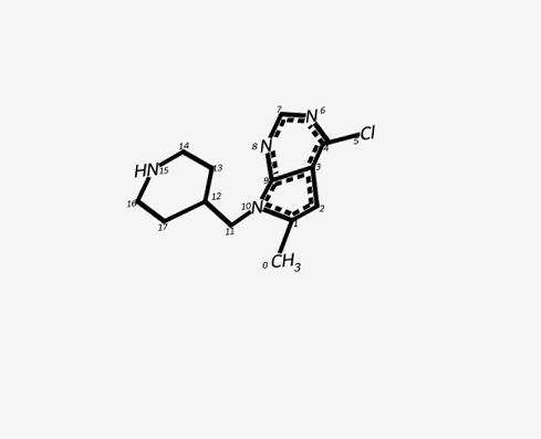 Cc1cc2c(Cl)ncnc2n1CC1CCNCC1